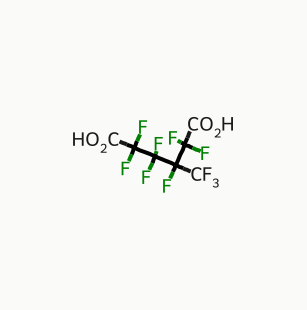 O=C(O)C(F)(F)C(F)(F)C(F)(C(F)(F)F)C(F)(F)C(=O)O